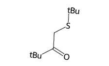 CC(C)(C)SCC(=O)C(C)(C)C